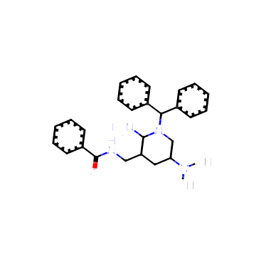 CN(C)C1CC(CNC(=O)c2ccccc2)C(N)N(C(c2ccccc2)c2ccccc2)C1